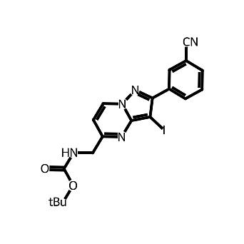 CC(C)(C)OC(=O)NCc1ccn2nc(-c3cccc(C#N)c3)c(I)c2n1